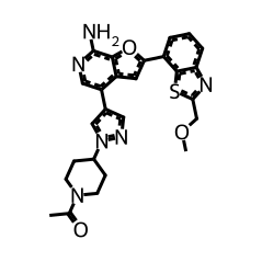 COCc1nc2cccc(-c3cc4c(-c5cnn(C6CCN(C(C)=O)CC6)c5)cnc(N)c4o3)c2s1